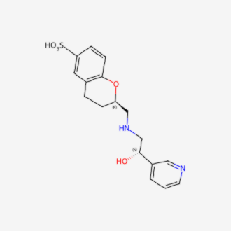 O=S(=O)(O)c1ccc2c(c1)CC[C@H](CNC[C@@H](O)c1cccnc1)O2